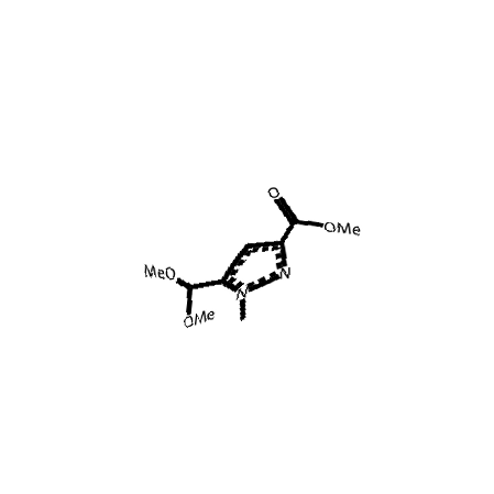 COC(=O)c1cc(C(OC)OC)n(C)n1